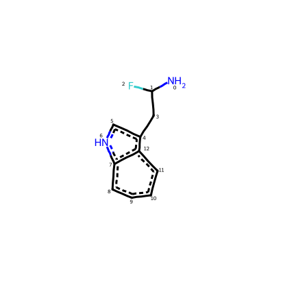 NC(F)Cc1c[nH]c2ccccc12